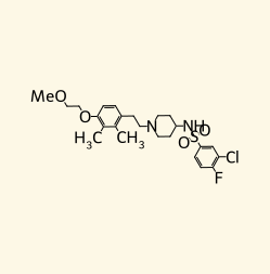 COCCOc1ccc(CCN2CCC(NS(=O)(=O)c3ccc(F)c(Cl)c3)CC2)c(C)c1C